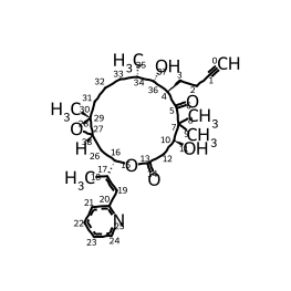 C#CCC[C@H]1C(=O)C(C)(C)[C@@H](O)CC(=O)O[C@H](C(C)=Cc2ccccn2)C[C@@H]2O[C@]2(C)CCC[C@H](C)[C@@H]1O